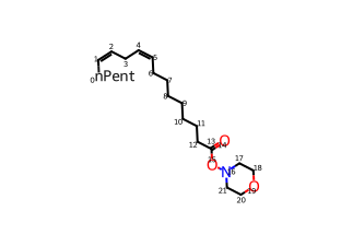 CCCCC/C=C\C/C=C\CCCCCCCC(=O)ON1CCOCC1